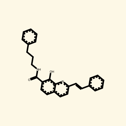 O=C(NCCCc1ccccc1)c1ccc2ccc(/C=C/c3ccccc3)nc2c1O